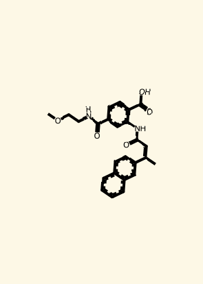 COCCNC(=O)c1ccc(C(=O)O)c(NC(=O)/C=C(/C)c2ccc3ccccc3c2)c1